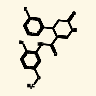 COc1ccc(Br)c(NC(=O)C2=CNC(=O)CC2c2cccc(F)c2)c1